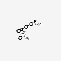 C[C@@H](OC(=O)Nc1c(-c2ccc(-c3ccc(C4(C(=O)O)CC4)cc3)cc2)sc2cnccc12)c1ccccc1